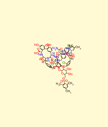 CN[C@@H](CC(C)C)C(=O)N[C@H]1C(=O)N[C@@H](CC(N)=O)C(=O)NC2C(=O)NC3C(=O)N[C@H](C(=O)N[C@@H](C(=O)O)c4cc(O)cc(O)c4-c4cc3ccc4O)[C@H](O)c3ccc(c(Cl)c3)Oc3cc2cc(c3OC2OC(COS(=O)(=O)c3c(C)cc(C)cc3C)C(O)C(O)C2OC2CC(C)(NCc3ccc(-c4ccc(Cl)cc4)cc3)C(O)C(C)O2)Oc2ccc(cc2Cl)[C@H]1O